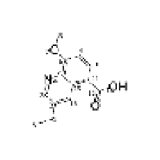 CCc1cnc2c(OC)ccc(C(=O)O)c2c1